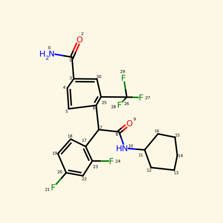 NC(=O)c1ccc(C(C(=O)NC2CCCCC2)c2ccc(F)cc2F)c(C(F)(F)F)c1